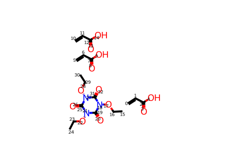 C=CC(=O)O.C=CC(=O)O.C=CC(=O)O.CCOn1c(=O)n(OCC)c(=O)n(OCC)c1=O